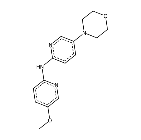 COc1ccc(Nc2ccc(N3CCOCC3)cn2)nc1